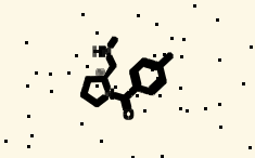 CNC[C@@H]1CCCN1C(=O)c1ccc(C)cc1